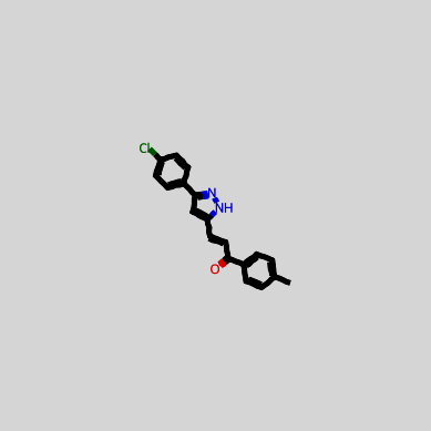 Cc1ccc(C(=O)/C=C/c2cc(-c3ccc(Cl)cc3)n[nH]2)cc1